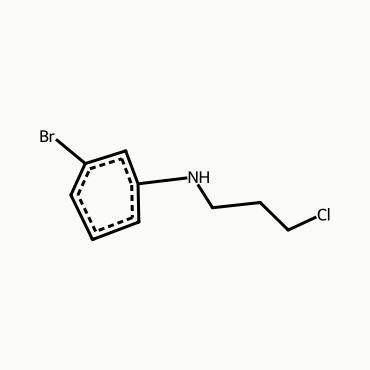 ClCCCNc1cccc(Br)c1